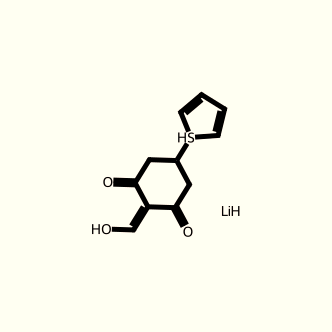 O=C1CC([SH]2C=CC=C2)CC(=O)C1=CO.[LiH]